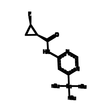 CCC[CH2][Sn]([CH2]CCC)([CH2]CCC)[c]1cc(NC(=O)[C@H]2C[C@H]2F)ncn1